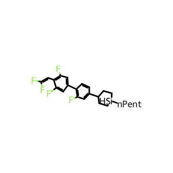 CCCCC[SiH]1CCC(c2ccc(-c3cc(F)c(C=C(F)F)c(F)c3)c(F)c2)CC1